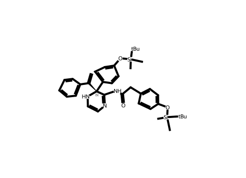 C=C(c1ccccc1)[C@]1(c2ccc(O[Si](C)(C)C(C)(C)C)cc2)NC=CN=C1NC(=O)Cc1ccc(O[Si](C)(C)C(C)(C)C)cc1